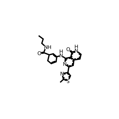 CCCNC(=O)C1C=C(Nc2nc(-c3csc(C)n3)cc3cc[nH]c(=O)c23)C=CC1